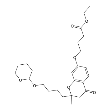 CCOC(=O)CCCOc1ccc2c(c1)OC(C)(CCCCOC1CCCCO1)CC2=O